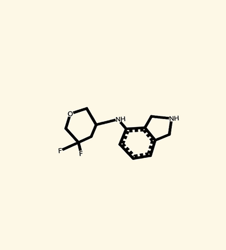 FC1(F)COCC(Nc2cccc3c2CNC3)C1